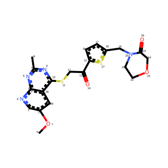 COc1cnc2nc(C)nc(SCC(=O)c3ccc(CN4CCOCC4=O)s3)c2c1